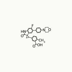 Cc1ccc(C2CC23C(=O)Nc2cc(F)c(-c4ccc(N5CCOCC5)cc4)cc23)cc1C(=O)O